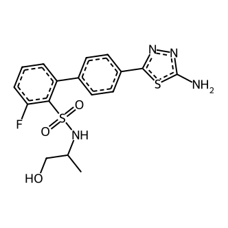 CC(CO)NS(=O)(=O)c1c(F)cccc1-c1ccc(-c2nnc(N)s2)cc1